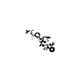 CC#CCn1c(N2CCC[C@H](NC(=O)OC(C)(C)C)C2)nc2c1c(=O)n(CC(=O)c1ccccc1[N+](=O)[O-])c(=O)n2C